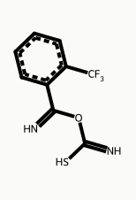 N=C(S)OC(=N)c1ccccc1C(F)(F)F